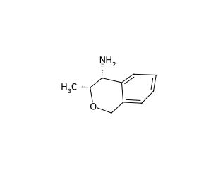 C[C@H]1OCc2ccccc2[C@H]1N